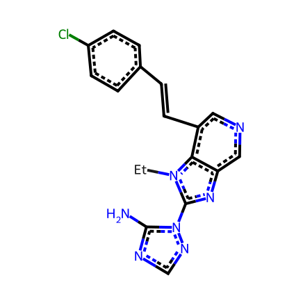 CCn1c(-n2ncnc2N)nc2cncc(C=Cc3ccc(Cl)cc3)c21